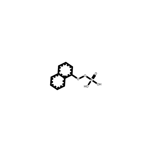 O=P(O)(O)OOc1cccc2ccccc12